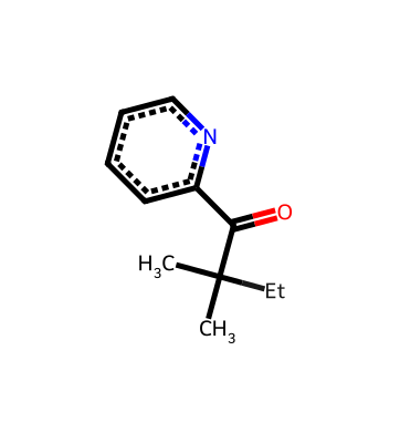 CCC(C)(C)C(=O)c1ccccn1